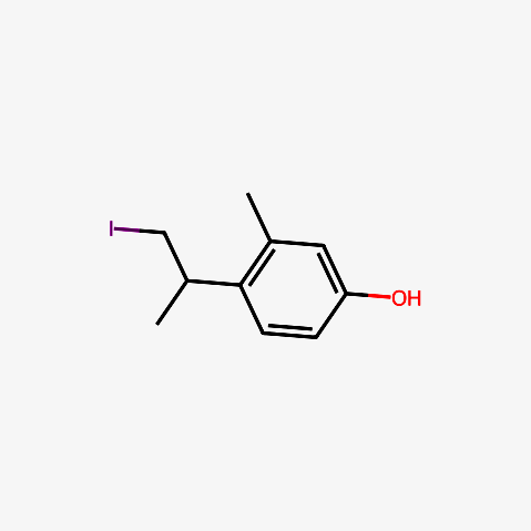 Cc1cc(O)ccc1C(C)CI